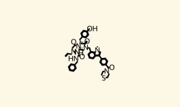 C=CCN1CC(=O)N2[C@@H](Cc3ccc(O)cc3)C(=O)N(Cc3cccc4c(-c5ccc(C(=O)N6CCSCC6)cc5)cn(C)c34)C[C@@H]2N1C(=O)NCc1ccccc1